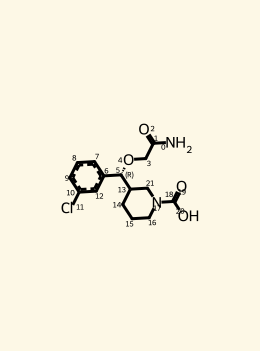 NC(=O)CO[C@@H](c1cccc(Cl)c1)C1CCCN(C(=O)O)C1